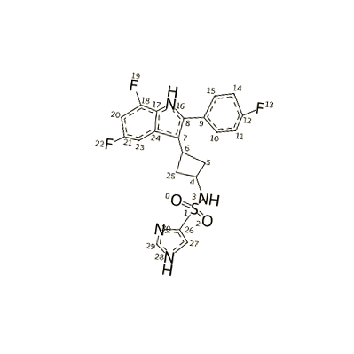 O=S(=O)(NC1CC(c2c(-c3ccc(F)cc3)[nH]c3c(F)cc(F)cc23)C1)c1c[nH]cn1